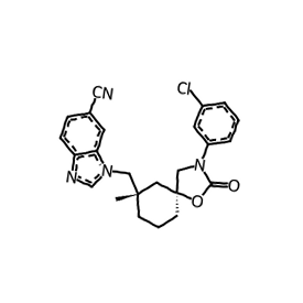 C[C@]1(Cn2cnc3ccc(C#N)cc32)CCC[C@@]2(CN(c3cccc(Cl)c3)C(=O)O2)C1